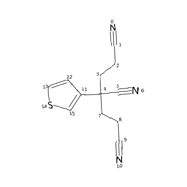 N#CCCC(C#N)(CCC#N)c1ccsc1